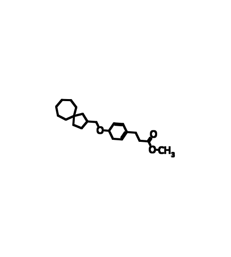 COC(=O)CCC1=CCC(OCC2CCC3(CCCCCC3)C2)C=C1